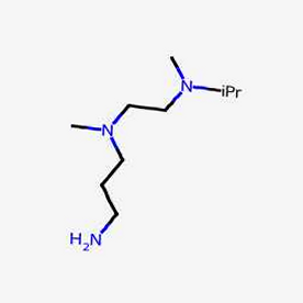 CC(C)N(C)CCN(C)CCCN